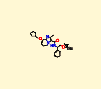 Cc1nc2c(OCC3CCCC3)cccn2c1C(=O)N[C@@H](CO[Si](C)(C)C(C)(C)C)c1ccccc1